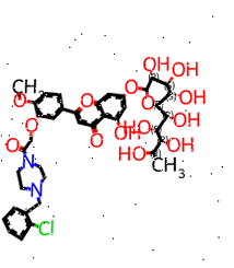 COc1ccc(-c2cc(=O)c3c(O)cc(OC4O[C@H]([C@H](O)[C@@H](O)[C@H](O)[C@@H](C)O)[C@@H](O)[C@H](O)[C@H]4O)cc3o2)cc1OCC(=O)N1CCN(Cc2ccccc2Cl)CC1